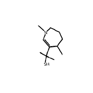 CC1CCCN(C)C=C1C(C)(C)S